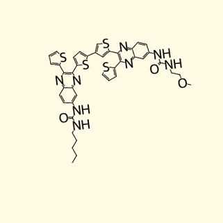 CCCCCNC(=O)Nc1ccc2nc(-c3cccs3)c(-c3ccc(-c4csc(-c5nc6ccc(NC(=O)NCCOC)cc6nc5-c5cccs5)c4)s3)nc2c1